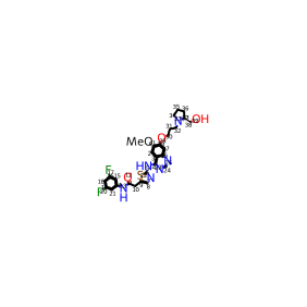 COc1cc2c(Nc3ncc(CC(=O)Nc4cc(F)cc(F)c4)s3)ncnc2cc1OCCCN1CCC[C@H]1CO